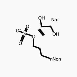 C=C.CCCCCCCCCCCCOS(=O)(=O)[O-].OCCO.[Na+]